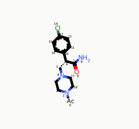 CC(=O)N1CCN(C[C@@H](C(N)=O)c2ccc(Cl)cc2)CC1